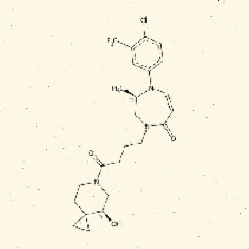 C[C@@H]1CN(CCCC(=O)N2CCC3(CC3)[C@H](O)C2)C(=O)C=CN1c1ccc(Cl)c(C(F)(F)F)c1